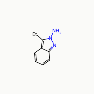 CCc1c2ccccc2nn1N